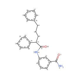 NC(=O)c1cccc(NC(=O)C(CCCc2ccccc2)c2ccccc2)c1